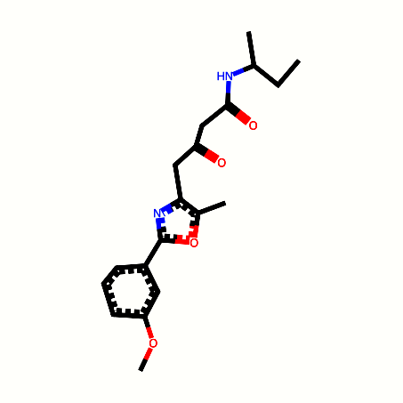 CCC(C)NC(=O)CC(=O)Cc1nc(-c2cccc(OC)c2)oc1C